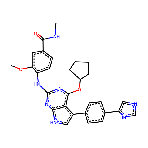 CNC(=O)c1ccc(Nc2nc(OC3CCCC3)c3c(-c4ccc(-c5cnc[nH]5)cc4)c[nH]c3n2)c(OC)c1